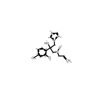 C=CC[S+]([O-])CC(O)(Cn1cncn1)c1ccc(Cl)cc1Cl